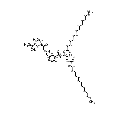 CCCCCCCCCCCCCCCC(=O)OC(C)C(OC(=O)CCCCCCCCCCCCCCC)OC(=O)c1ccnc(CNCC(=O)N(CC)CCN(C)C)c1